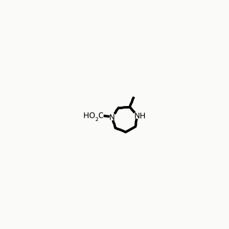 CC1CN(C(=O)O)CCCN1